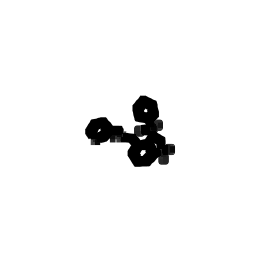 O=S1(=O)CC(S(=O)(=O)c2ccccc2)c2c(CNCc3cccnc3)cccc21